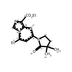 CCOC(=O)c1ncn2c(CC)cc(N3CCC(C)(C)C3=O)nc12